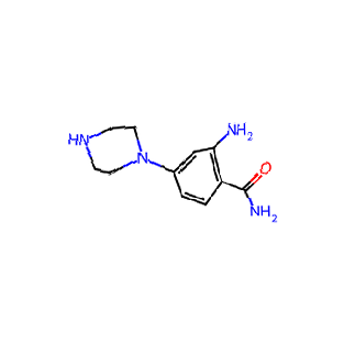 NC(=O)c1ccc(N2CCNCC2)cc1N